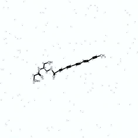 CC#CC#CC#CC#CC#CC(=O)OC[C@H](CO)OC(=O)CCCCCCCCCCC